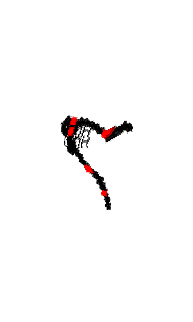 CCCCCCCCCCCCCCCCCCCCc1cccc(OC(=O)c2c(O)c(CCCCCCCCCCCCCCCC)cc3ccccc23)c1O